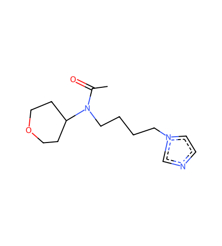 CC(=O)N(CCCCn1ccnc1)C1CCOCC1